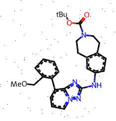 COCc1ccccc1-c1cccn2nc(Nc3ccc4c(c3)CCN(C(=O)OC(C)(C)C)CC4)nc12